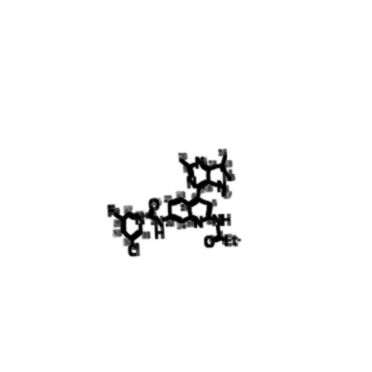 C[CH]C(=O)Nc1cc(-c2nc(C)nc3c(C)nn(C)c23)c2ccc(NC(=O)[n+]3cc(F)cc(Cl)c3)cc2n1